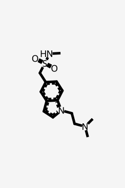 CNS(=O)(=O)Cc1ccc2c(ccn2CCN(C)C)c1